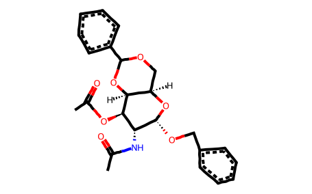 CC(=O)N[C@H]1[C@@H](OCc2ccccc2)O[C@@H]2COC(c3ccccc3)O[C@@H]2[C@@H]1OC(C)=O